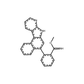 COC(=N)c1ccccc1-c1cc2[nH]c3ncccc3c2c2ccccc12